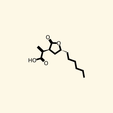 C=C(C(=O)O)[C@@H]1C[C@@H](CCCCCC)OC1=O